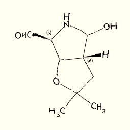 CC1(C)C[C@H]2C(O)N[C@H](C=O)C2O1